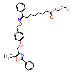 CCOC(=O)CCCCCC/C(=N\OCc1ccc(OCc2nc(-c3ccccc3)oc2C)cc1)c1ccccc1